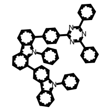 c1ccc(-c2nc(-c3ccccc3)nc(-c3ccc(-c4cccc5c6cccc(-c7ccc8c(c7)c7ccccc7n8-c7ccccc7)c6n(-c6ccccc6)c45)cc3)n2)cc1